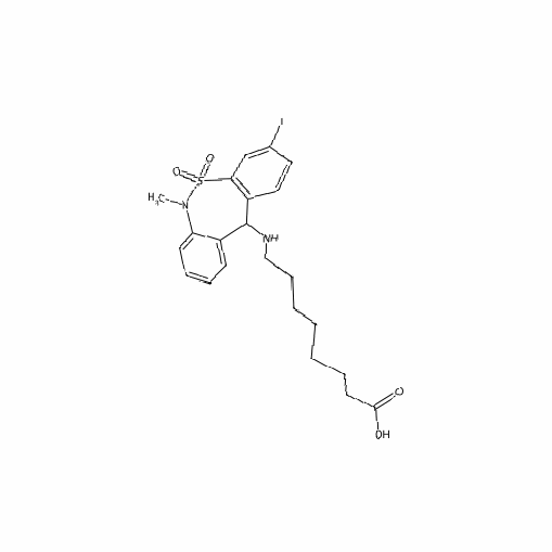 CN1c2ccccc2C(NCCCCCCCC(=O)O)c2ccc(I)cc2S1(=O)=O